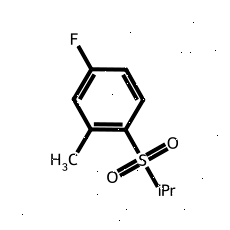 Cc1cc(F)ccc1S(=O)(=O)C(C)C